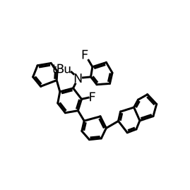 CC(C)(C)N(c1ccccc1F)c1c(-c2ccccc2)ccc(-c2cccc(-c3ccc4ccccc4c3)c2)c1F